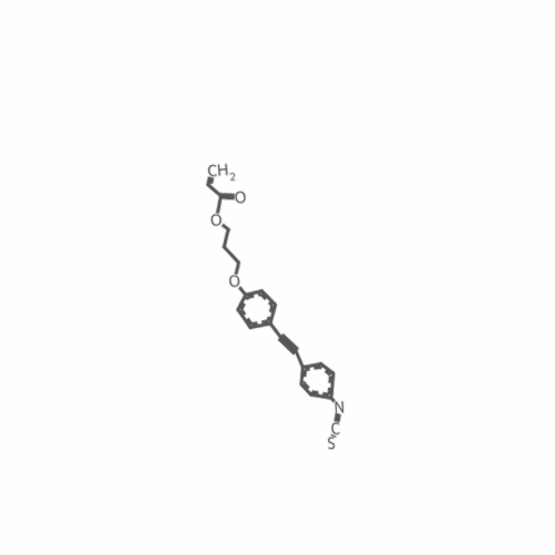 C=CC(=O)OCCCOc1ccc(C#Cc2ccc(N=C=S)cc2)cc1